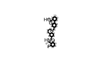 C[C@H](NC(=O)c1ccc2c(c1)CCCN2Cc1ccc(-c2ccccc2C(=O)O)cc1)c1ccccc1F